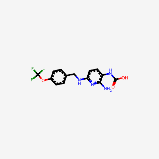 Nc1nc(NCc2ccc(OC(F)(F)F)cc2)ccc1NC(=O)O